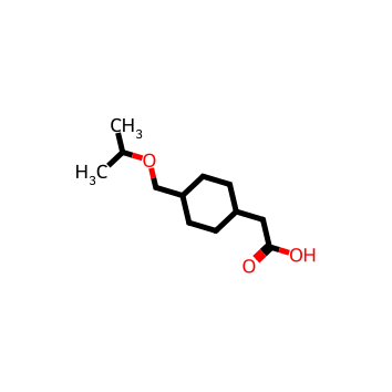 CC(C)OCC1CCC(CC(=O)O)CC1